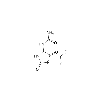 ClCCl.NC(=O)NC1NC(=O)NC1=O